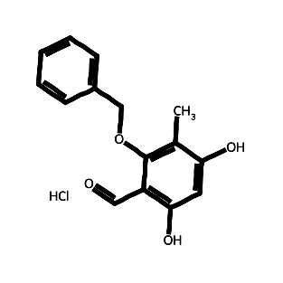 Cc1c(O)cc(O)c(C=O)c1OCc1ccccc1.Cl